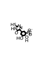 O=c1[nH]c(S)nnc1-c1cc(O)c(O)c([N+](=O)[O-])c1